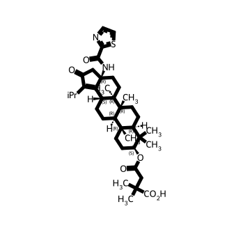 CC(C)C1=C2[C@H]3CC[C@@H]4[C@@]5(C)CC[C@H](OC(=O)CC(C)(C)C(=O)O)C(C)(C)[C@@H]5CC[C@@]4(C)[C@]3(C)CC[C@@]2(NC(=O)c2nccs2)CC1=O